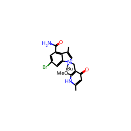 CCC(C)[N+]1(Cc2c(OC)[nH]c(C)cc2=O)C=C(C)c2c(C(N)=O)cc(Br)cc21